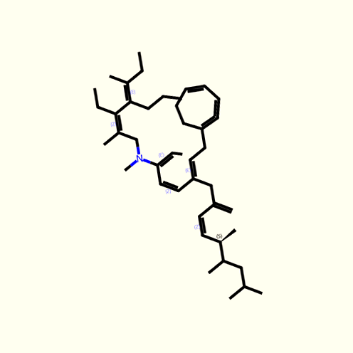 C=C(/C=C\[C@@H](C)C(C)CC(C)C)CC(/C=C\C(=C/C)N(C)C/C(C)=C(CC)\C(CCC)=C(/C)CC)=C\CC1=C=CC=CCC1